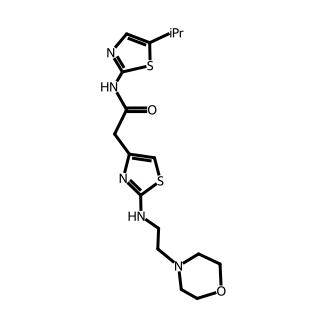 CC(C)c1cnc(NC(=O)Cc2csc(NCCN3CCOCC3)n2)s1